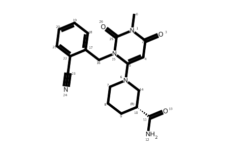 Cn1c(=O)cc(N2CCC[C@@H](C(N)=O)C2)n(Cc2ccccc2C#N)c1=O